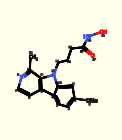 COc1ccc2c3ccnc(C)c3n(CCCC(=O)NO)c2c1